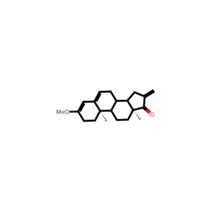 C=C1CC2C3CC=C4C=C(OC)CC[C@]4(C)C3CC[C@]2(C)C1=O